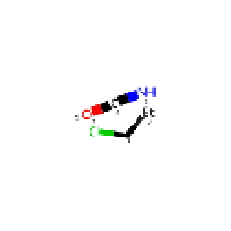 CCCCl.N=C=O